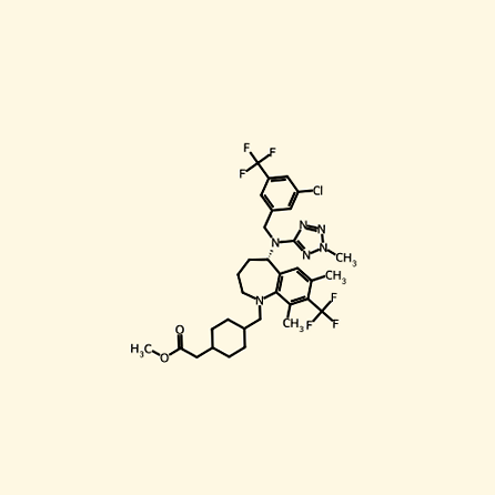 COC(=O)CC1CCC(CN2CCC[C@H](N(Cc3cc(Cl)cc(C(F)(F)F)c3)c3nnn(C)n3)c3cc(C)c(C(F)(F)F)c(C)c32)CC1